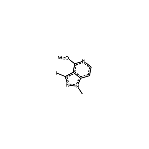 COc1nccc2c1c(I)nn2C